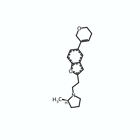 C[C@@H]1CCCN1CCc1cc2cc(C3=CCCOC3)ccc2o1